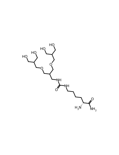 NC(=O)[C@H](N)CCCCNC(=O)NCC(COCC(CO)CO)COCC(CO)CO